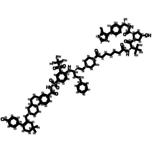 Cc1ncsc1-c1ccc([C@H](C)NC(=O)[C@@H]2C[C@@H](O)CN2C(=O)[C@@H](NC(=O)CCCCCC(=O)N2CCN(CC[C@H](CSc3ccccc3)Nc3ccc(S(=O)(=O)NC(=O)c4ccc5c(c4)CCC4CN(CC6=C(c7ccc(Cl)cc7)CCC(C)(C)C6)CCN54)cc3S(=O)(=O)C(F)(F)F)CC2)C(C)(C)C)cc1